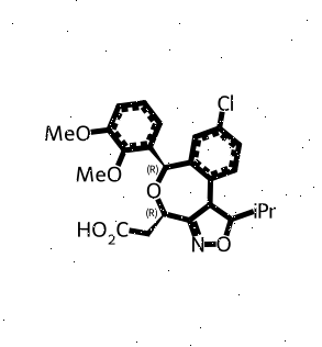 COc1cccc([C@@H]2O[C@H](CC(=O)O)C3=NOC(C(C)C)C3c3ccc(Cl)cc32)c1OC